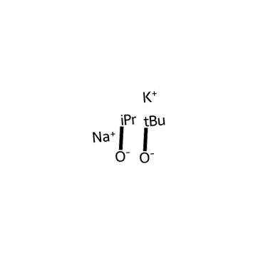 CC(C)(C)[O-].CC(C)[O-].[K+].[Na+]